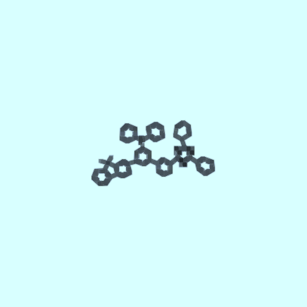 CC1(C)c2ccccc2-c2ccc(-c3cc(-c4cccc(-c5nc(-c6ccccc6)nc(C6C=CC=CC6)n5)c4)cc(P(c4ccccc4)c4ccccc4)c3)cc21